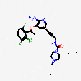 CC(Oc1cc(C#CCNC(=O)N2CCN(C)CC2)cnc1N)c1c(Cl)ccc(F)c1Cl